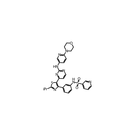 CC(C)c1nc(-c2cccc(NS(=O)(=O)c3cccnc3)c2)c(-c2ccnc(Nc3ccc(N4CCOCC4)nc3)n2)s1